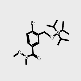 CON(C)C(=O)c1ccc(Br)c(CO[Si](C(C)C)(C(C)C)C(C)C)c1